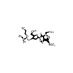 CC(C)N(C(C)C)P(OCCC#N)OC1CC(n2nnc3c([N+](=O)[O-])nn(CO)c3c2=O)OC1CO